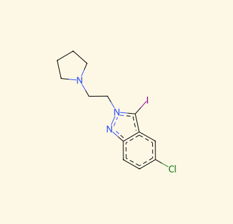 Clc1ccc2nn(CCN3CCCC3)c(I)c2c1